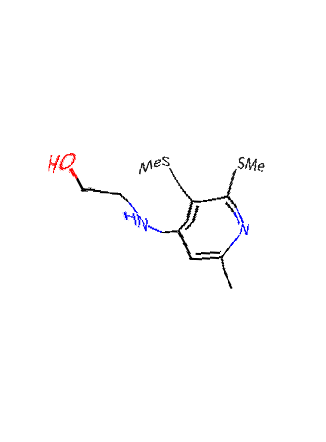 CSc1nc(C)cc(NCCO)c1SC